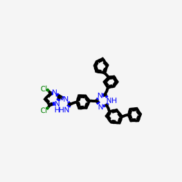 N=C(/N=c1/nc(Cl)cc(Cl)[nH]1)c1ccc(C2=NC(c3cccc(-c4ccccc4)c3)NC(c3cccc(-c4ccccc4)c3)=N2)cc1